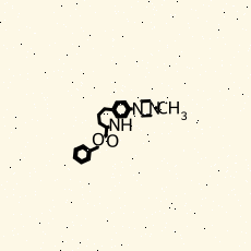 CN1CCN(c2ccc3c(c2)NC(C(=O)OCc2ccccc2)CCC3)CC1